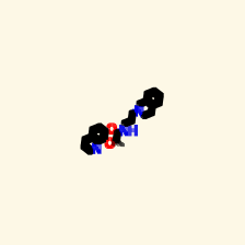 C[C@H](Oc1cccc2cccnc12)C(=O)NCCCN1CCc2ccccc2C1